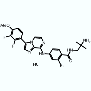 CCc1cc(Nc2nccn3c(-c4ccc(OC)c(F)c4F)cnc23)ccc1C(=O)NCC(C)(C)N.Cl